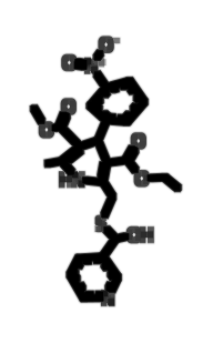 CCOC(=O)C1=C(CSC(O)c2cccnc2)NC(C)=C(C(=O)OC)C1c1cccc([N+](=O)[O-])c1